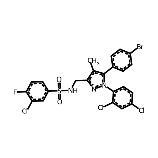 Cc1c(CNS(=O)(=O)c2ccc(F)c(Cl)c2)nn(-c2ccc(Cl)cc2Cl)c1-c1ccc(Br)cc1